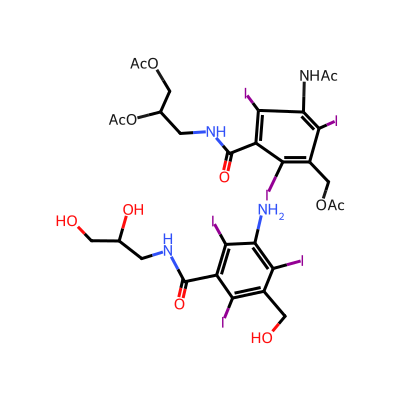 CC(=O)Nc1c(I)c(COC(C)=O)c(I)c(C(=O)NCC(COC(C)=O)OC(C)=O)c1I.Nc1c(I)c(CO)c(I)c(C(=O)NCC(O)CO)c1I